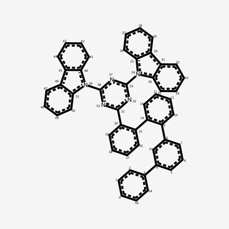 c1ccc(-c2cccc(-c3ccccc3-c3ccccc3-c3nc(-n4c5ccccc5c5ccccc54)nc(-n4c5ccccc5c5ccccc54)n3)c2)cc1